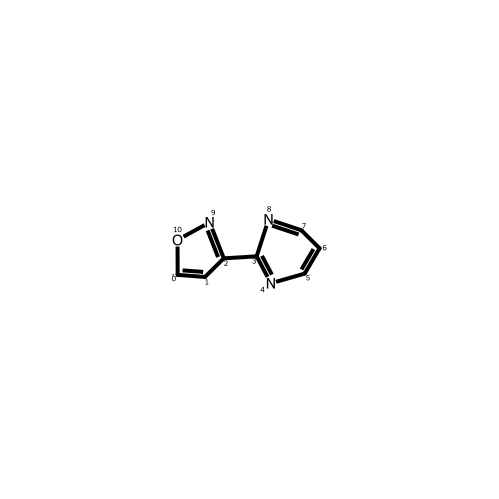 [c]1cc(-c2ncccn2)no1